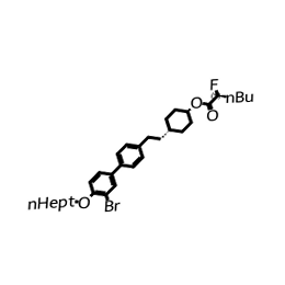 CCCCCCCOc1ccc(-c2ccc(CC[C@H]3CC[C@H](OC(=O)[C@@H](F)CCCC)CC3)cc2)cc1Br